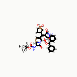 CC(C)(C)OC(=O)N[C@@H]1C(=O)N2[C@@H](C(=O)OC(c3ccccc3)c3ccccc3)C(C(=C3CCNC3=O)C3CCS(=O)(=O)C3)=CS[C@H]12